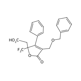 O=C(O)CC1(C(F)(F)F)OC(=O)C(COCc2ccccc2)=C1c1ccccc1